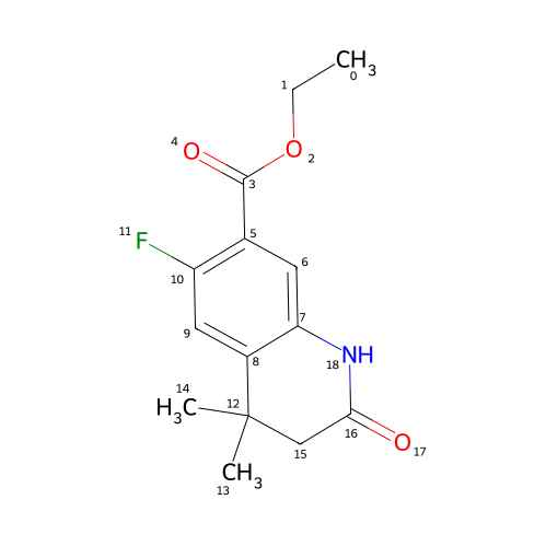 CCOC(=O)c1cc2c(cc1F)C(C)(C)CC(=O)N2